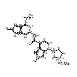 CCOc1nc(NC(=O)c2ccc(N3CC[C@H](NC)C3)c3cn(C)nc23)cn2cc(C)nc12